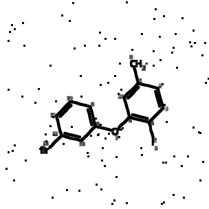 [CH2]c1ccc(F)c(Oc2cccc(Br)c2)c1